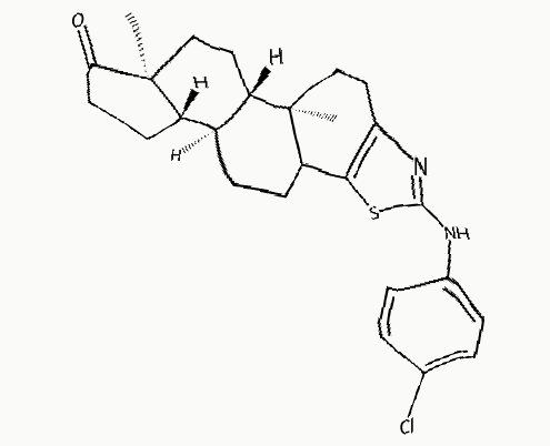 C[C@]12CCc3nc(Nc4ccc(Cl)cc4)sc3C1CC[C@@H]1[C@@H]2CC[C@]2(C)C(=O)CC[C@@H]12